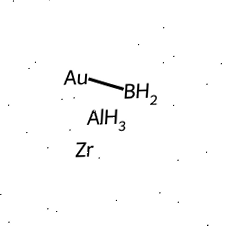 [AlH3].[BH2][Au].[Zr]